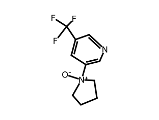 [O-][N+]1(c2cncc(C(F)(F)F)c2)CCCC1